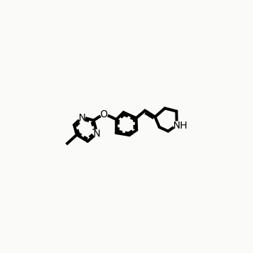 Cc1cnc(Oc2cccc(C=C3CCNCC3)c2)nc1